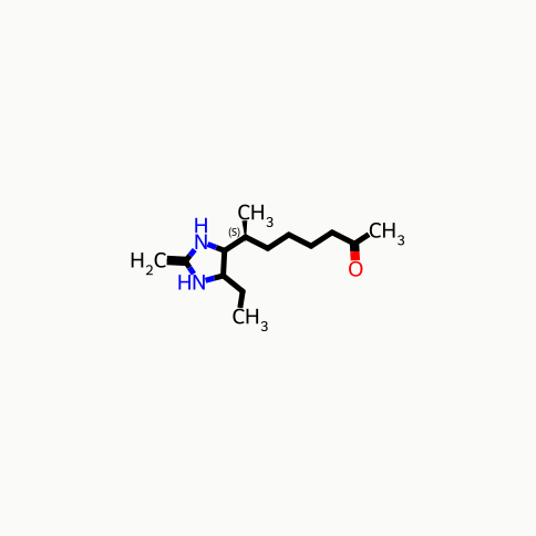 C=C1NC(CC)C([C@@H](C)CCCCC(C)=O)N1